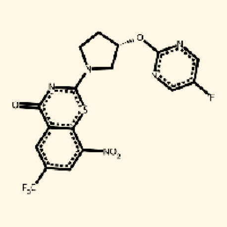 O=c1nc(N2CC[C@H](Oc3ncc(F)cn3)C2)sc2c([N+](=O)[O-])cc(C(F)(F)F)cc12